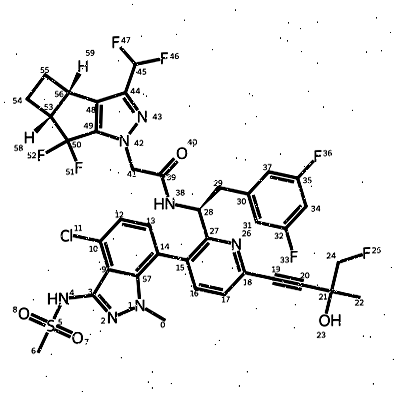 Cn1nc(NS(C)(=O)=O)c2c(Cl)ccc(-c3ccc(C#CC(C)(O)CF)nc3[C@H](Cc3cc(F)cc(F)c3)NC(=O)Cn3nc(C(F)F)c4c3C(F)(F)[C@@H]3CC[C@H]43)c21